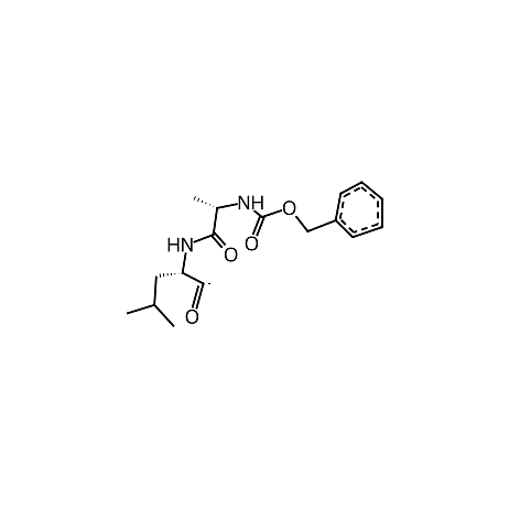 CC(C)C[C@@H]([C]=O)NC(=O)[C@H](C)NC(=O)OCc1ccccc1